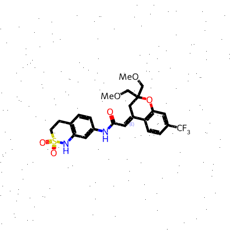 COCC1(COC)C/C(=C\C(=O)Nc2ccc3c(c2)NS(=O)(=O)CC3)c2ccc(C(F)(F)F)cc2O1